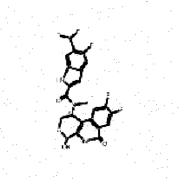 CN(C(=O)c1cc2cc(F)c(C(F)F)cc2[nH]1)[C@@H]1COC(O)c2[nH]c(=O)c3cc(F)c(F)cc3c21